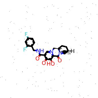 O=C(NCc1ccc(F)cc1F)c1cn2c(c(O)c1=O)C(=O)N1C[C@@H]3C#CC[C@]1(CC3)C2